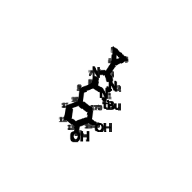 CC(C)(C)n1nc(C2CC2)nc1Cc1ccc(O)c(O)c1